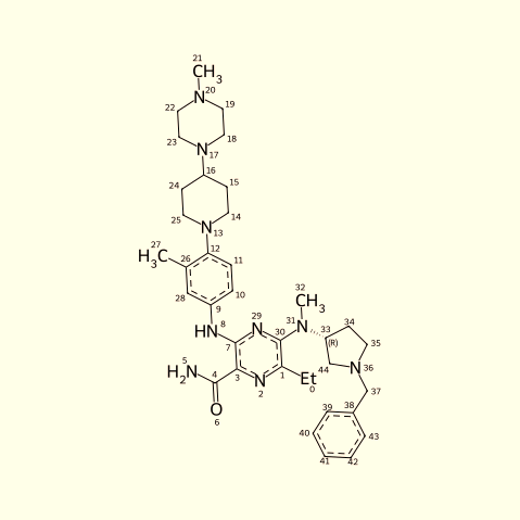 CCc1nc(C(N)=O)c(Nc2ccc(N3CCC(N4CCN(C)CC4)CC3)c(C)c2)nc1N(C)[C@@H]1CCN(Cc2ccccc2)C1